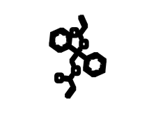 C=CC(=O)OCC(OC(=O)C=C)(c1ccccc1)c1ccccc1